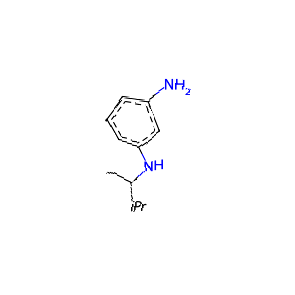 CC(C)C(C)Nc1cccc(N)c1